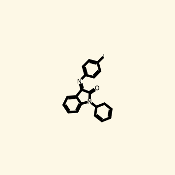 O=C1/C(=N\c2ccc(I)cc2)c2ccccc2N1C1C=CC=CC1